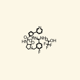 N=C(N)c1ccc(F)c(CN2CCC(NS(=O)(=O)c3ccc(-c4cccnc4)s3)C2=O)c1.O=C(O)C(F)(F)F